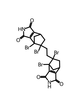 O=C1NC(=O)C2=C1C1CC(Br)(CCC3(Br)CC4CC3(Br)C3=C4C(=O)NC3=O)C2(Br)C1